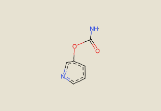 [NH]C(=O)Oc1cccnc1